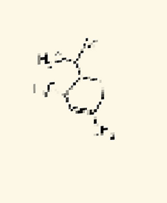 CC(=O)C(C)C1CCC(C)=C[C@@H]1C